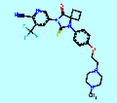 CN1CCN(CCOc2ccc(N3C(=S)N(c4cnc(C#N)c(C(F)(F)F)c4)C(=O)C34CCC4)cc2)CC1